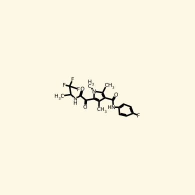 Cc1c(C(=O)Nc2ccc(F)cc2)c(C)n(C)c1C(=O)C(=O)NC(C)C(F)(F)F